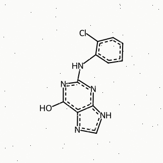 Oc1nc(Nc2ccccc2Cl)nc2[nH]cnc12